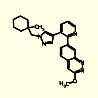 COc1cc2ccc(-c3ncccc3-c3cnn(CC4(C)CCCCC4)c3)cc2nn1